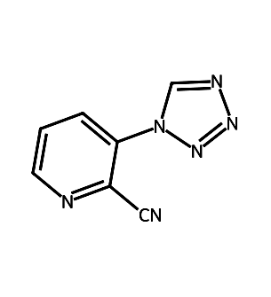 N#Cc1ncccc1-n1cnnn1